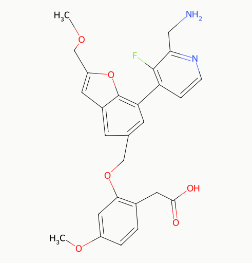 COCc1cc2cc(COc3cc(OC)ccc3CC(=O)O)cc(-c3ccnc(CN)c3F)c2o1